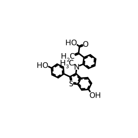 C=C(C(=O)O)c1ccccc1N(C)c1c(-c2ccc(O)cc2)sc2cc(O)ccc12